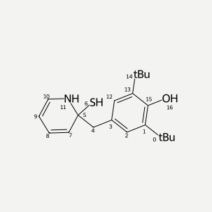 CC(C)(C)c1cc(CC2(S)C=CC=CN2)cc(C(C)(C)C)c1O